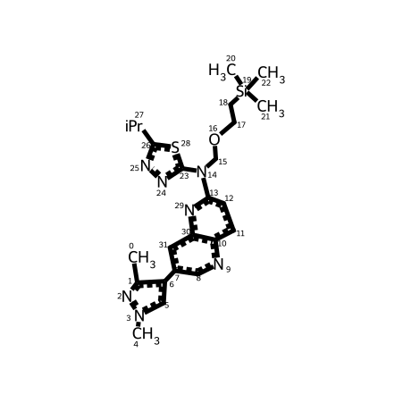 Cc1nn(C)cc1-c1cnc2ccc(N(COCC[Si](C)(C)C)c3nnc(C(C)C)s3)nc2c1